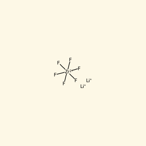 [F][Zr-2]([F])([F])([F])([F])[F].[Li+].[Li+]